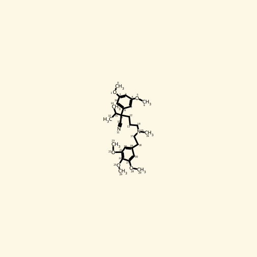 COc1cc(OC)cc(C(C#N)(CCCN(C)CCc2cc(OC)c(OC)c(OC)c2)C(C)C)c1